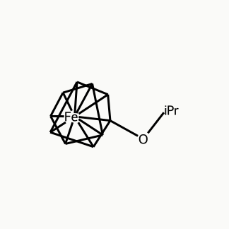 CC(C)O[C]12[CH]3[CH]4[CH]5[CH]1[Fe]45321678[CH]2[CH]1[CH]6[CH]7[CH]28